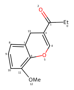 CCC(=O)C1=COc2c(cccc2OC)C1